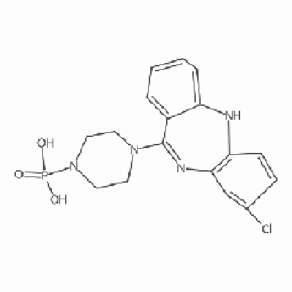 O=P(O)(O)N1CCN(C2=Nc3cc(Cl)ccc3Nc3ccccc32)CC1